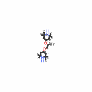 CC(C)C(COC1CC(C)(C)NC(C)(C)C1)OC1CC(C)(C)NC(C)(C)C1